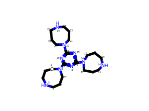 C1CNCCCN(c2nc(N3CCCNCCC3)nc(N3CCCNCCC3)n2)C1